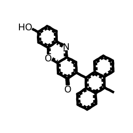 Cc1c2ccccc2c(-c2cc3nc4ccc(O)cc4oc-3cc2=O)c2ccccc12